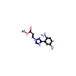 CC(C)OC(=O)C=Cn1cnc(-c2cc(Cl)ccc2N)c1